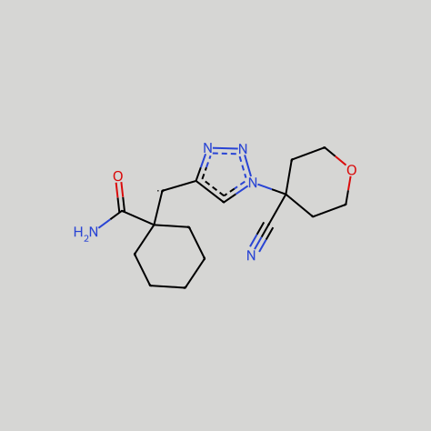 N#CC1(n2cc([CH]C3(C(N)=O)CCCCC3)nn2)CCOCC1